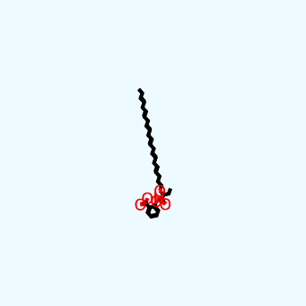 CCC=CCC=CCC=CCC=CCC=CCC=CCCCOC(CC)C(=O)Oc1ccccc1C(=O)O